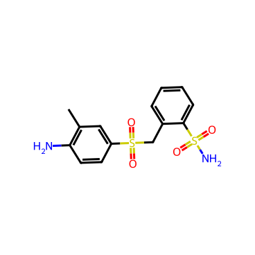 Cc1cc(S(=O)(=O)Cc2ccccc2S(N)(=O)=O)ccc1N